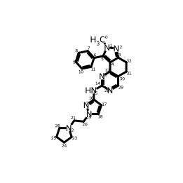 Cn1nc2c(c1-c1ccccc1)-c1nc(Nc3ccn(CCN4CCCC4)n3)ncc1CC2